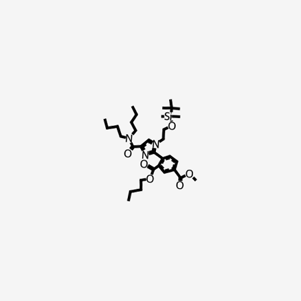 CCCCOC(=O)c1cc(C(=O)OC)ccc1-c1nc(C(=O)N(CCCC)CCCC)cn1CCO[Si](C)(C)C(C)(C)C